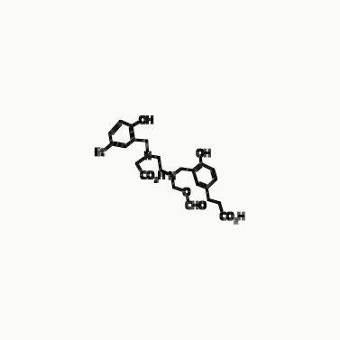 CCc1ccc(O)c(CN(CCN(COC=O)Cc2cc(CCC(=O)O)ccc2O)CC(=O)O)c1